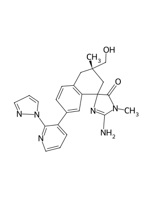 CN1C(=O)C2(C[C@@](C)(CO)Cc3ccc(-c4cccnc4-n4cccn4)cc32)N=C1N